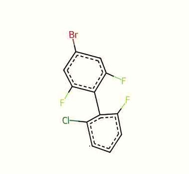 Fc1cc[c]c(Cl)c1-c1c(F)cc(Br)cc1F